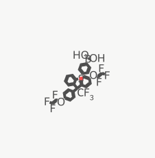 OB(O)c1ccc(Sc2ccccc2C(c2ccc(OC(F)=C(F)F)cc2)(c2ccc(OC(F)=C(F)F)cc2)C(F)(F)F)cc1